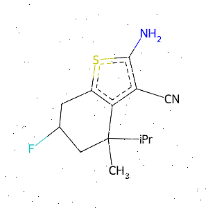 CC(C)C1(C)CC(F)Cc2sc(N)c(C#N)c21